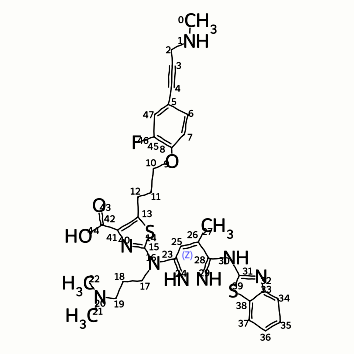 CNCC#Cc1ccc(OCCCc2sc(N(CCCN(C)C)C(=N)/C=C(/C)C(=N)Nc3nc4ccccc4s3)nc2C(=O)O)c(F)c1